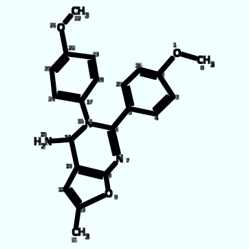 COc1ccc(C2=Nc3oc(C)cc3C(N)N2c2ccc(OC)cc2)cc1